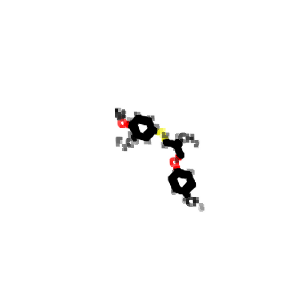 C=C(COc1ccc(C(F)(F)F)cc1)CSc1ccc(OCC)c(C(F)(F)F)c1